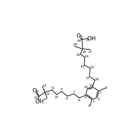 Cc1cc(C)c(CCCCCCC(C)(C)C(=O)O)cc1CCCCCCC(C)(C)C(=O)O